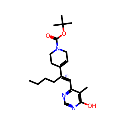 CCCC/C(=C\c1ncnc(O)c1C)C1=CCN(C(=O)OC(C)(C)C)CC1